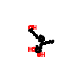 C=C1/C(=C\C=C(/CCCCCC)c2cccc(CCCCCC(C)(C)O)c2)C[C@@H](O)C[C@H]1O